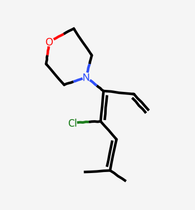 C=C/C(=C(/Cl)C=C(C)C)N1CCOCC1